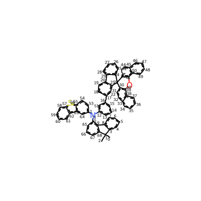 CC1(C)c2ccccc2-c2c(N(c3cccc(-c4ccc5c(c4)C4(c6ccccc6-5)c5ccc6ccccc6c5Oc5c4ccc4ccccc54)c3)c3ccc4sc5ccccc5c4c3)cccc21